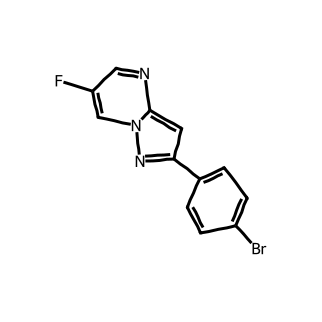 Fc1cnc2cc(-c3ccc(Br)cc3)nn2c1